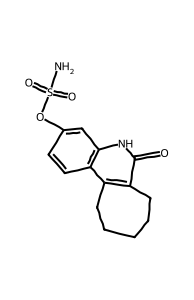 NS(=O)(=O)Oc1ccc2c3c(c(=O)[nH]c2c1)CCCCC3